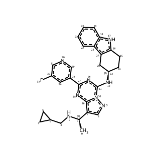 C[C@@H](NCC1CC1)c1cnn2c(N[C@@H]3CCc4[nH]c5ccccc5c4C3)nc(-c3cncc(F)c3)nc12